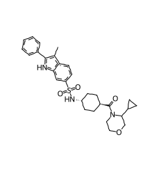 Cc1c(-c2ccccc2)[nH]c2cc(S(=O)(=O)N[C@H]3CC[C@H](C(=O)N4CCOCC4C4CC4)CC3)ccc12